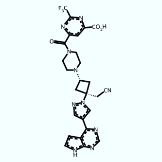 N#CC[C@]1(n2cc(-c3ncnc4[nH]ccc34)cn2)C[C@H](N2CCN(C(=O)c3cc(C(=O)O)nc(C(F)(F)F)n3)CC2)C1